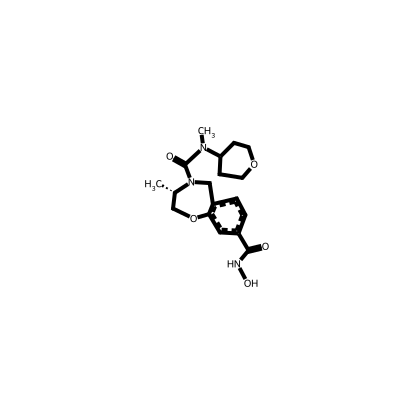 C[C@H]1COc2cc(C(=O)NO)ccc2CN1C(=O)N(C)C1CCOCC1